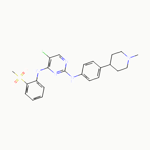 CN1CCC(c2ccc(Nc3ncc(Cl)c(Nc4ccccc4S(C)(=O)=O)n3)cc2)CC1